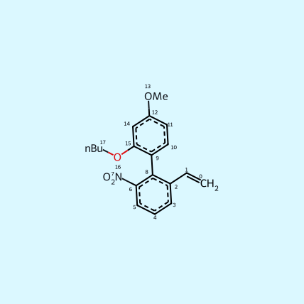 C=Cc1cccc([N+](=O)[O-])c1-c1ccc(OC)cc1OCCCC